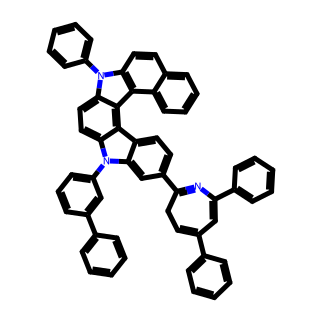 C1=C(c2ccccc2)C=C(c2ccccc2)N=C(c2ccc3c4c5c6c7ccccc7ccc6n(-c6ccccc6)c5ccc4n(-c4cccc(-c5ccccc5)c4)c3c2)C1